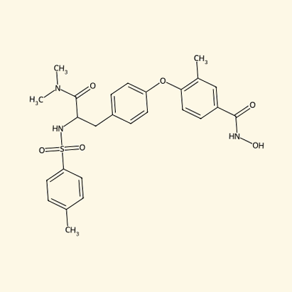 Cc1ccc(S(=O)(=O)NC(Cc2ccc(Oc3ccc(C(=O)NO)cc3C)cc2)C(=O)N(C)C)cc1